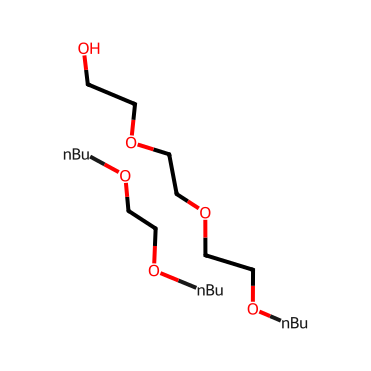 CCCCOCCOCCCC.CCCCOCCOCCOCCO